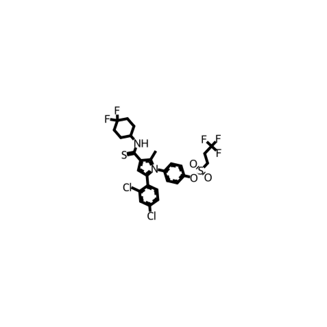 Cc1c(C(=S)NC2CCC(F)(F)CC2)cc(-c2ccc(Cl)cc2Cl)n1-c1ccc(OS(=O)(=O)CCC(F)(F)F)cc1